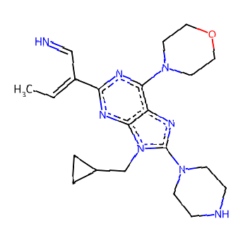 C/C=C(\C=N)c1nc(N2CCOCC2)c2nc(N3CCNCC3)n(CC3CC3)c2n1